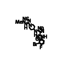 CNNC(=NC#N)N1CCC(Nc2nonc2C(=NO)Nc2ccc(F)c(Br)c2)CC1